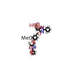 COc1cc(COc2nc(-c3ccccc3)ncc2/C=C\P(=O)(O)O)ccc1OCc1nc(-c2ccco2)oc1C